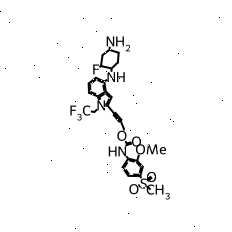 COc1cc(S(C)(=O)=O)ccc1NC(=O)OCC#Cc1cc2c(NC3CCC(N)CC3F)cccc2n1CC(F)(F)F